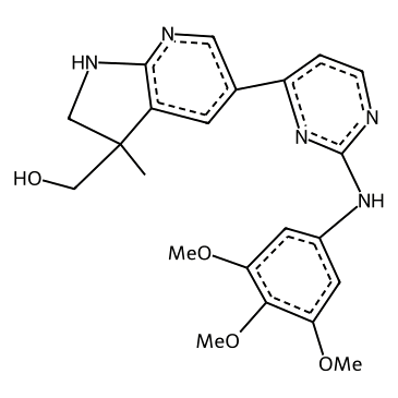 COc1cc(Nc2nccc(-c3cnc4c(c3)C(C)(CO)CN4)n2)cc(OC)c1OC